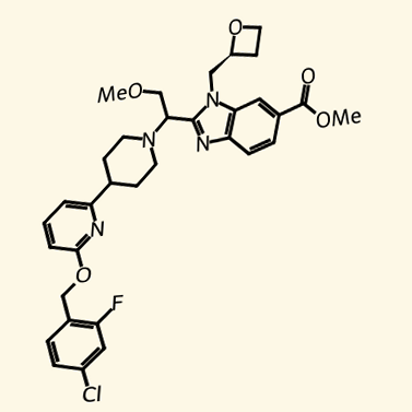 COCC(c1nc2ccc(C(=O)OC)cc2n1C[C@@H]1CCO1)N1CCC(c2cccc(OCc3ccc(Cl)cc3F)n2)CC1